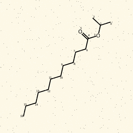 [CH2]C(C)OC(=O)CCCCCCCCCCC